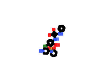 O=c1c(Nc2ccccc2)c(Nc2ccc(Cl)c(S(=O)(=O)[N+]3(C4CCNCC4)CCCCC3)c2O)c1=O